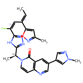 C/C=C(\C=C(\F)c1nnc([C@H](C)n2ccc3ncc(-c4cnn(C)c4)cc3c2=O)[nH]1)c1cc(C)no1